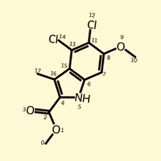 COC(=O)c1[nH]c2cc(OC)c(Cl)c(Cl)c2c1C